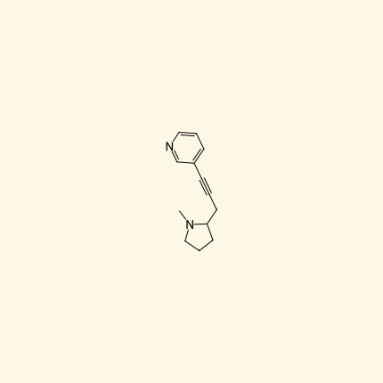 CN1CCCC1CC#Cc1cccnc1